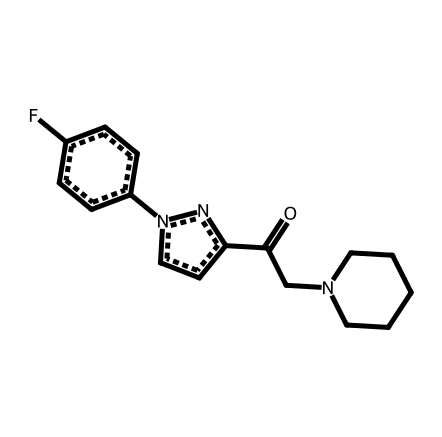 O=C(CN1CCCCC1)c1ccn(-c2ccc(F)cc2)n1